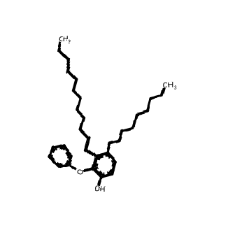 CCCCCCCCCCCCc1c(CCCCCCCCC)ccc(O)c1Oc1ccccc1